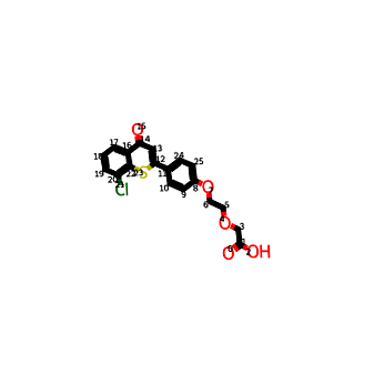 O=C(O)COCCOc1ccc(-c2cc(=O)c3cccc(Cl)c3s2)cc1